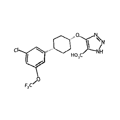 O=C(O)c1[nH]nnc1O[C@H]1CC[C@@H](c2cc(Cl)cc(OC(F)(F)F)c2)CC1